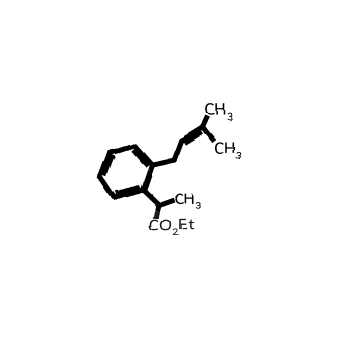 CCOC(=O)C(C)c1ccccc1CC=C(C)C